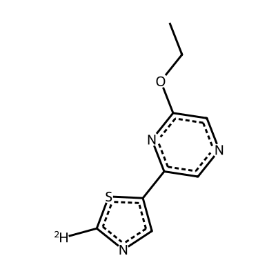 [2H]c1ncc(-c2cncc(OCC)n2)s1